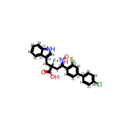 O=C(O)C(F)(CC(=NO)c1ccc(-c2ccc(Cl)cc2)cc1F)Cc1c[nH]c2ccccc12